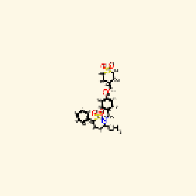 C[C@H]1CCC(c2ccccc2)S(=O)(=O)N1Cc1ccc(OCC2CCS(=O)(=O)CC2)cc1